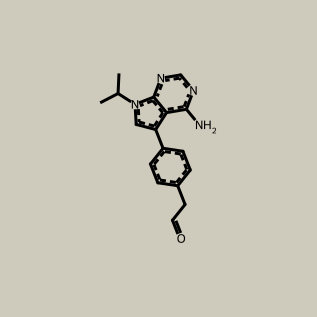 CC(C)n1cc(-c2ccc(CC=O)cc2)c2c(N)ncnc21